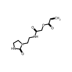 C=CC(=O)OCC(=O)NCCN1CCNC1=O